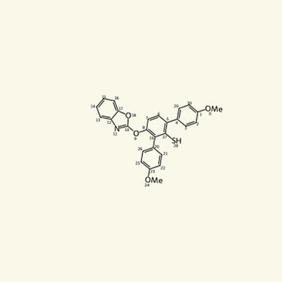 COc1ccc(-c2ccc(Oc3nc4ccccc4o3)c(-c3ccc(OC)cc3)c2S)cc1